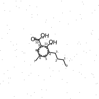 CCCCc1cc(C)cc(C(=O)O)c1O